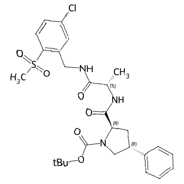 C[C@H](NC(=O)[C@H]1C[C@H](c2ccccc2)CN1C(=O)OC(C)(C)C)C(=O)NCc1cc(Cl)ccc1S(C)(=O)=O